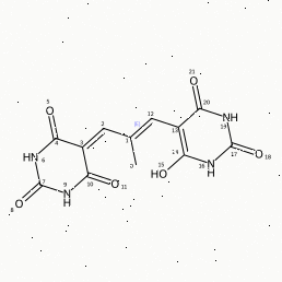 C/C(C=C1C(=O)NC(=O)NC1=O)=C\c1c(O)[nH]c(=O)[nH]c1=O